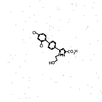 O=C(O)c1cc(-c2ccc(-c3ccc(Cl)cc3Cl)cc2)n(CCO)n1